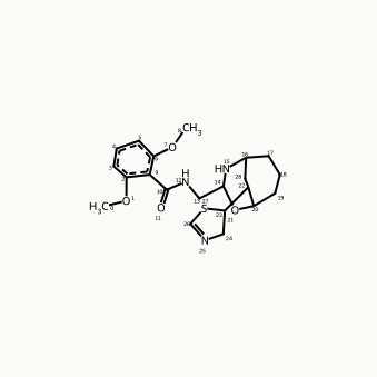 COc1cccc(OC)c1C(=O)NCC1NC2CCCC(O1)C(C1CN=CS1)C2